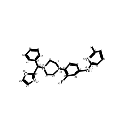 Cc1cccc(Nc2ccc(N3CCN(C(c4ccccc4)c4ncco4)CC3)c(F)c2)n1